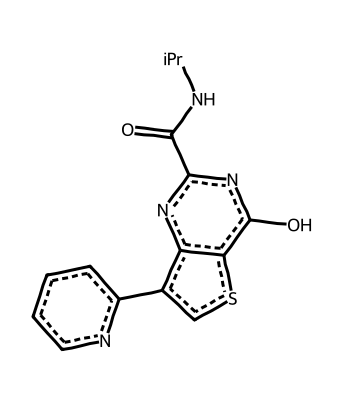 CC(C)NC(=O)c1nc(O)c2scc(-c3ccccn3)c2n1